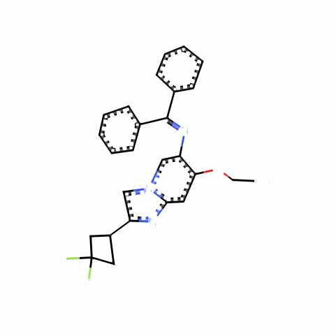 CCOc1cc2nc(C3CC(F)(F)C3)cn2cc1N=C(c1ccccc1)c1ccccc1